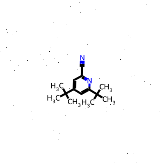 CC(C)(C)c1cc(C#N)nc(C(C)(C)C)c1